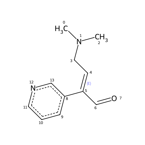 CN(C)C/C=C(/C=O)c1cccnc1